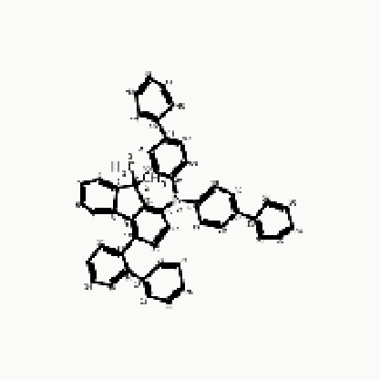 CC1(C)c2ccccc2-c2c(-c3ccccc3-c3ccccc3)ccc(N(c3ccc(-c4ccccc4)cc3)c3ccc(-c4ccccc4)cc3)c21